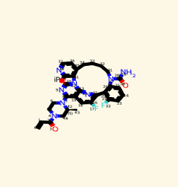 C=CC(=O)N1CCN(c2nc(=O)n3c4nc(c(F)cc24)-c2c(F)cccc2N(C(N)=O)CCCCc2ccnc(C(C)C)c2-3)[C@@H](C)C1